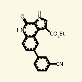 CCOC(=O)c1c[nH]c2c(=O)[nH]c3ccc(-c4cccc(C#N)c4)cc3c12